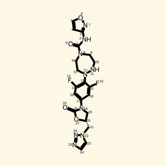 O=C(Nc1ccon1)N1CCNN(c2c(F)cc(N3C[C@H](Cn4ccnn4)OC3=O)cc2F)CC1